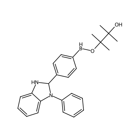 CC(C)(O)C(C)(C)OBc1ccc(C2Nc3ccccc3N2c2ccccc2)cc1